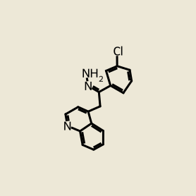 NN=C(Cc1ccnc2ccccc12)c1cccc(Cl)c1